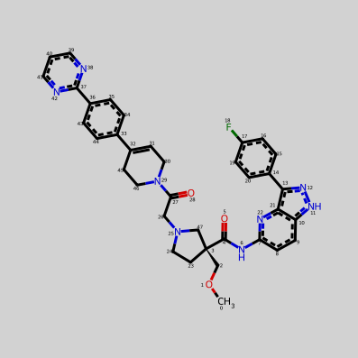 COC[C@@]1(C(=O)Nc2ccc3[nH]nc(-c4ccc(F)cc4)c3n2)CCN(CC(=O)N2CC=C(c3ccc(-c4ncccn4)cc3)CC2)C1